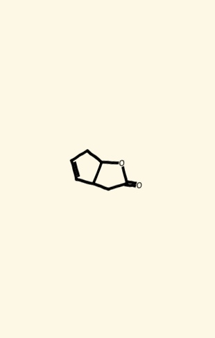 O=C1CC2C=CCC2O1